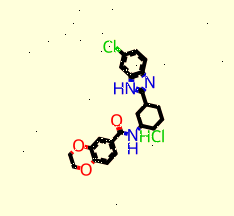 Cl.O=C(NC1CCCC(c2nc3ccc(Cl)cc3[nH]2)C1)c1ccc2c(c1)OCCO2